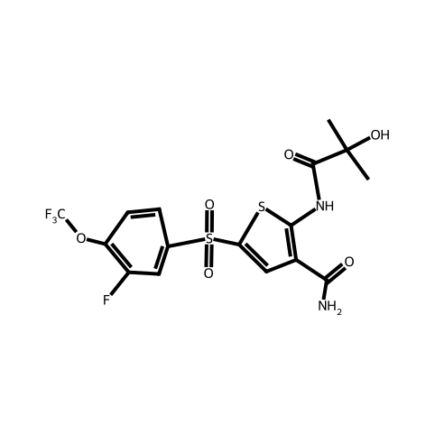 CC(C)(O)C(=O)Nc1sc(S(=O)(=O)c2ccc(OC(F)(F)F)c(F)c2)cc1C(N)=O